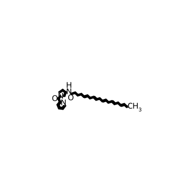 CCC=CCC=CCC=CCC=CCC=CCCCC(=O)NC1CCN(C(=O)c2ccccn2)C1